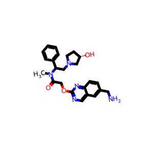 CN(C(=O)COc1ncc2cc(CN)ccc2n1)C(CN1CC[C@H](O)C1)c1ccccc1